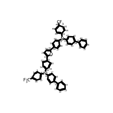 FC(F)(F)c1ccc(N(c2ccc(-c3ccccc3)cc2)c2ccc(-c3ccc(-c4ccc(N(c5ccc(-c6ccccc6)cc5)c5ccc(C(F)(F)F)cc5)cc4)o3)cc2)cc1